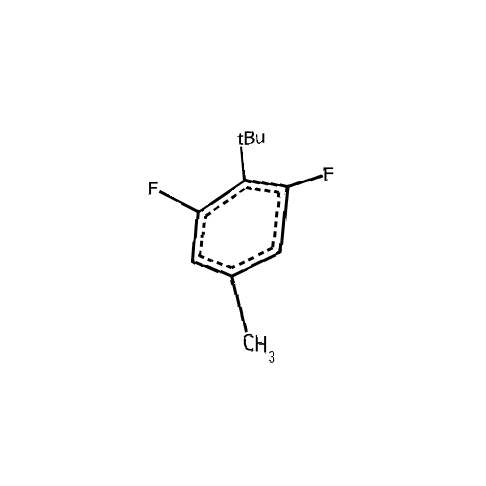 Cc1cc(F)c(C(C)(C)C)c(F)c1